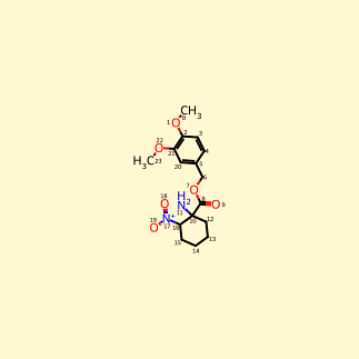 COc1ccc(COC(=O)C2(N)CCCCC2[N+](=O)[O-])cc1OC